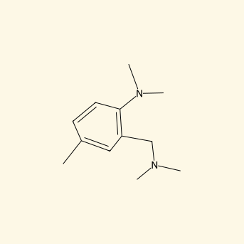 Cc1ccc(N(C)C)c(CN(C)C)c1